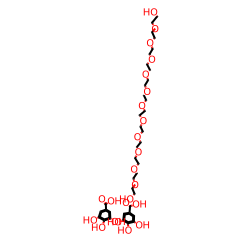 O=C(O)c1cc(O)c(O)c(O)c1.O=C(O)c1cc(O)c(O)c(O)c1.OCCOCCOCCOCCOCCOCCOCCOCCOCCOCCOCCOCCO